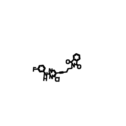 O=C1c2ccccc2C(=O)N1CCCC#Cc1cnc(Nc2cccc(F)c2)nc1Cl